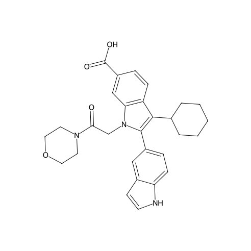 O=C(O)c1ccc2c(C3CCCCC3)c(-c3ccc4[nH]ccc4c3)n(CC(=O)N3CCOCC3)c2c1